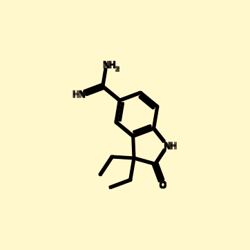 CCC1(CC)C(=O)Nc2ccc(C(=N)N)cc21